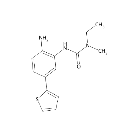 CCN(C)C(=O)Nc1cc(-c2cccs2)ccc1N